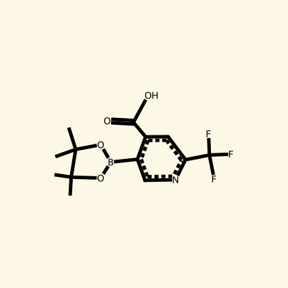 CC1(C)OB(c2cnc(C(F)(F)F)cc2C(=O)O)OC1(C)C